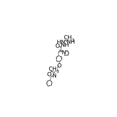 CC(=N)NNC(=O)[C@H](Cc1ccc(OCCc2nc(-c3ccccc3)oc2C)cc1)n1cccc1